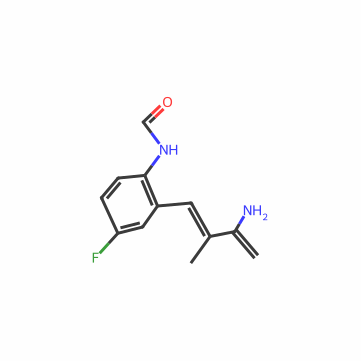 C=C(N)/C(C)=C/c1cc(F)ccc1NC=O